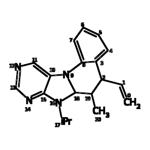 C=CC1c2ccccc2N2c3cncnc3N(C(C)C)C2C1C